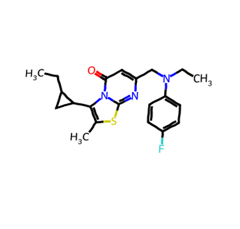 CCC1CC1c1c(C)sc2nc(CN(CC)c3ccc(F)cc3)cc(=O)n12